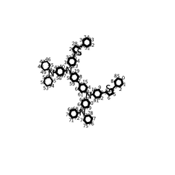 c1ccc(-c2ccc(-c3ccc(N(c4ccc(-c5ccc(N(c6ccc(-c7ccc(-c8ccccc8)s7)cc6)c6ccc(N(C7CCCCC7)C7CCCCC7)cc6)cc5)cc4)c4ccc(N(c5ccccc5)c5ccccc5)cc4)cc3)s2)cc1